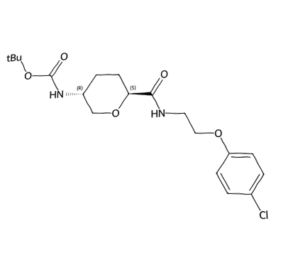 CC(C)(C)OC(=O)N[C@@H]1CC[C@@H](C(=O)NCCOc2ccc(Cl)cc2)OC1